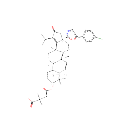 CC(C)C1=C2[C@H]3CC[C@@H]4[C@@]5(C)CC[C@H](OC(=O)CC(C)(C)C(=O)O)C(C)(C)[C@@H]5CC[C@@]4(C)[C@]3(C)CC[C@@]2(c2ncc(-c3ccc(Cl)cc3)o2)CC1=O